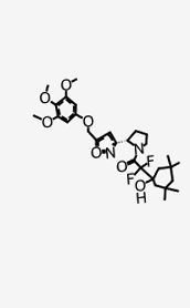 COc1cc(OCc2cc([C@@H]3CCCN3C(=O)C(F)(F)C3(O)CC(C)(C)CC(C)(C)C3)no2)cc(OC)c1OC